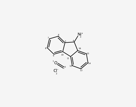 [C]=O.[Cl-].[Ni+][CH]1c2ccccc2-c2ccccc21